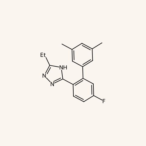 CCc1nnc(-c2ccc(F)cc2-c2cc(C)cc(C)c2)[nH]1